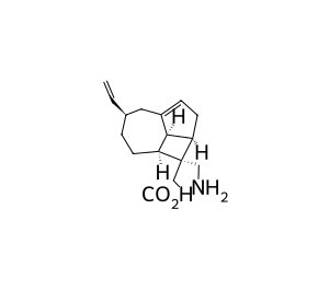 C=C[C@@H]1CC[C@H]2[C@H]3C(=CC[C@H]3[C@@]2(CN)CC(=O)O)C1